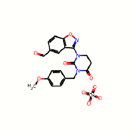 COc1ccc(CN2C(=O)CCN(c3noc4ccc(C=O)cc34)C2=O)cc1.[O]=[Os](=[O])(=[O])=[O]